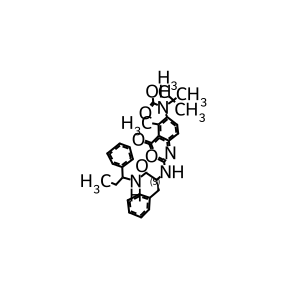 CCC(NC(=O)[C@H](Cc1ccccc1)Nc1nc2ccc(N(C(=O)O)C(C)(C)C)c(C)c2c(=O)o1)c1ccccc1